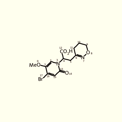 COc1cn(C(CC2=NOCCC2)C(=O)O)c(=O)cc1Br